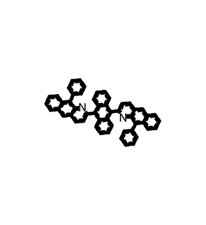 c1ccc(-c2c3ccccc3cc3ccc(-c4c5ccccc5c(-c5ccc6cc7ccccc7c(-c7ccccc7)c6n5)c5ccccc45)nc23)cc1